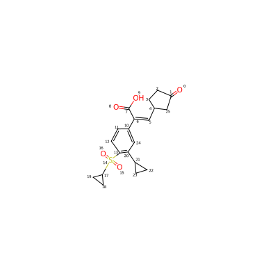 O=C1CCC(C=C(C(=O)O)c2ccc(S(=O)(=O)C3CC3)c(C3CC3)c2)C1